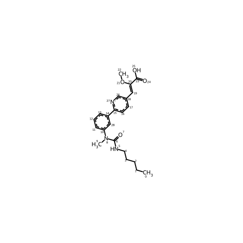 CCCCCNC(=O)N(C)c1cccc(-c2ccc(/C=C(\OC)C(=O)O)cn2)c1